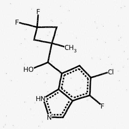 CC1(C(O)c2cc(Cl)c(F)c3cn[nH]c23)CC(F)(F)C1